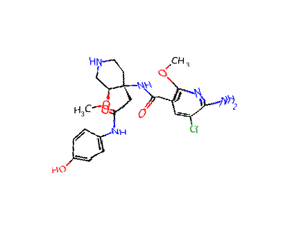 COc1nc(N)c(Cl)cc1C(=O)N[C@@]1(CC(=O)Nc2ccc(O)cc2)CCNC[C@@H]1OC